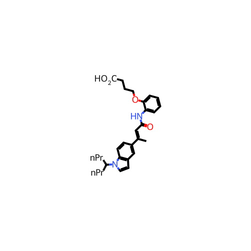 CCCC(CCC)n1ccc2cc(C(C)=CC(=O)Nc3ccccc3OCCCC(=O)O)ccc21